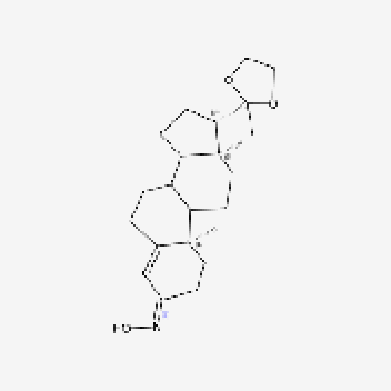 CC1([C@H]2CCC3C4CCC5=C/C(=N\O)CC[C@]5(C)C4CC[C@@]32C)OCCO1